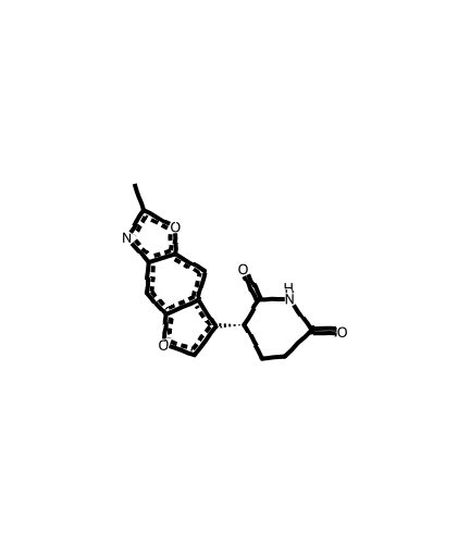 Cc1nc2cc3occ([C@H]4CCC(=O)NC4=O)c3cc2o1